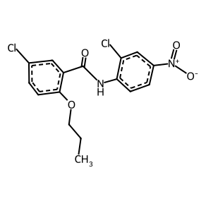 CCCOc1ccc(Cl)cc1C(=O)Nc1ccc([N+](=O)[O-])cc1Cl